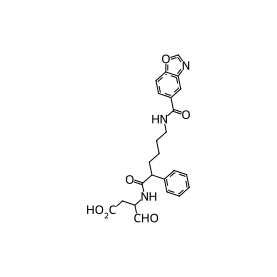 O=CC(CC(=O)O)NC(=O)C(CCCCNC(=O)c1ccc2ocnc2c1)c1ccccc1